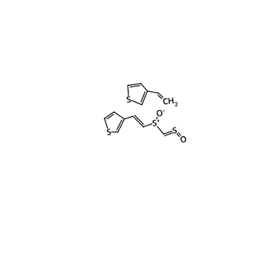 C=Cc1ccsc1.O=S=C[S+]([O-])C=Cc1ccsc1